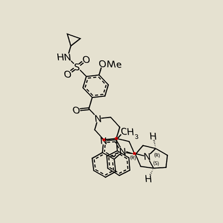 COc1ccc(C(=O)N2CCC(CCN3[C@@H]4CC[C@H]3C[C@@H](n3c(C)nc5ccccc53)C4)(c3ccccc3)CC2)cc1S(=O)(=O)NC1CC1